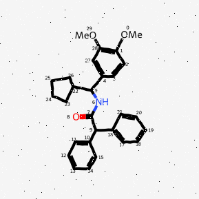 COc1ccc(C(NC(=O)C(c2ccccc2)c2ccccc2)C2CCCC2)cc1OC